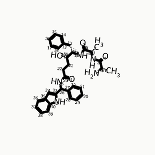 C[C@H](N)C(=O)N[C@@H](C)C(=O)N[C@@H](Cc1ccccc1)[C@@H](O)CCC(=O)NC(c1ccccc1)c1cc2ccccc2[nH]1